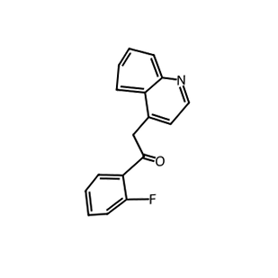 O=C(Cc1ccnc2ccccc12)c1ccccc1F